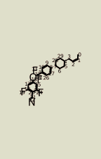 C/C=C\C[C@H]1CC[C@H](c2ccc(C(F)(F)Oc3cc(F)c(C#N)c(F)c3)cc2)CC1